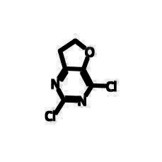 Clc1nc(Cl)c2c(n1)CCO2